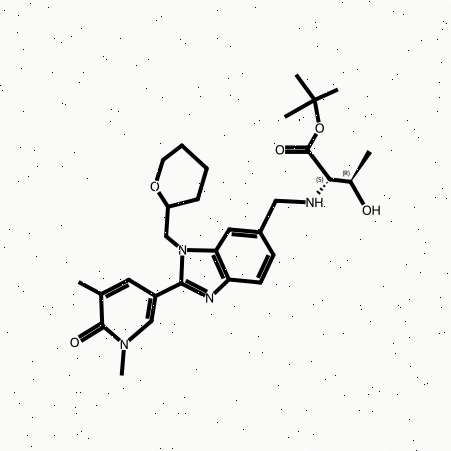 Cc1cc(-c2nc3ccc(CN[C@H](C(=O)OC(C)(C)C)[C@@H](C)O)cc3n2CC2CCCCO2)cn(C)c1=O